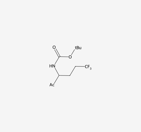 CC(=O)C(CCC(F)(F)F)NC(=O)OC(C)(C)C